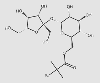 CC(C)(Br)C(=O)OC[C@H]1O[C@H](O[C@]2(CO)O[C@H](CO)[C@@H](O)[C@@H]2O)[C@H](O)[C@@H](O)[C@@H]1O